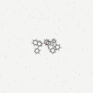 c1ccc(-c2nc(-c3ccc(-c4cccc5c4C4(c6ccccc6Sc6ccccc64)c4ccccc4-5)cc3)nc3ccccc23)cc1